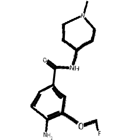 CN1CCC(NC(=O)c2ccc(N)c(OCF)c2)CC1